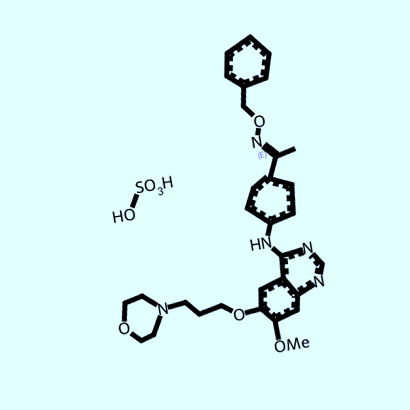 COc1cc2ncnc(Nc3ccc(/C(C)=N/OCc4ccccc4)cc3)c2cc1OCCCN1CCOCC1.O=S(=O)(O)O